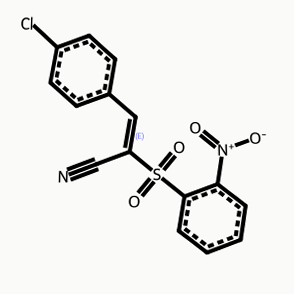 N#C/C(=C\c1ccc(Cl)cc1)S(=O)(=O)c1ccccc1[N+](=O)[O-]